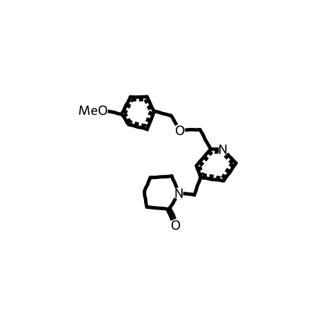 COc1ccc(COCc2cc(CN3CCCCC3=O)ccn2)cc1